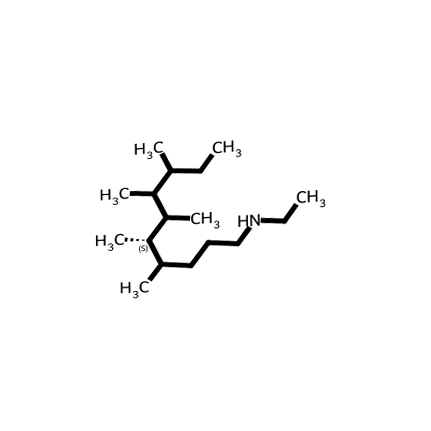 CCNCCCC(C)[C@H](C)C(C)C(C)C(C)CC